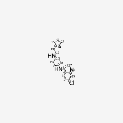 Clc1ccc2c(NC3CCC(NCCc4cccs4)CC3)ccnc2c1